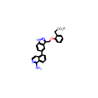 Nc1nccc2c(-c3ccc4[nH]nc(COc5ccccc5CC(=O)O)c4c3)cccc12